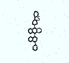 C1=Cc2c(c(-c3ccc4c(c3)sc3ccccc34)c3ccccc3c2-c2ccc(-c3ccccc3)c3ccccc23)CC1